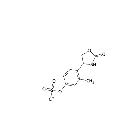 Cc1cc(OS(=O)(=O)C(F)(F)F)ccc1C1COC(=O)N1